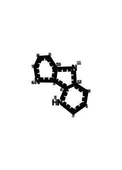 [c]1cc[nH]c2c3ncccc3nc1-2